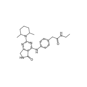 CCNC(=O)Cc1ccc(Nc2nc(N3C(C)CCCC3C)nc3c2C(=O)NC3)cc1